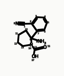 N#Cc1ccccc1C1(N)CCCCN1C(=O)O